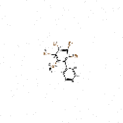 Brc1c(Br)c(Br)c(-c2ccccc2)c(Br)c1Br.C=C